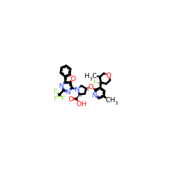 Cc1cnc(O[C@H]2C[C@@H](C(=O)O)N(c3nc(C(F)(F)F)nc4c3oc3ccccc34)C2)c([C@]2(F)CCOC[C@@H]2C)c1